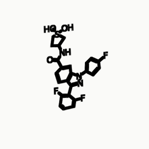 O=C(NC1CCS(O)(O)C1)c1ccc2c(-c3c(F)cccc3F)nn(-c3ccc(F)cc3)c2c1